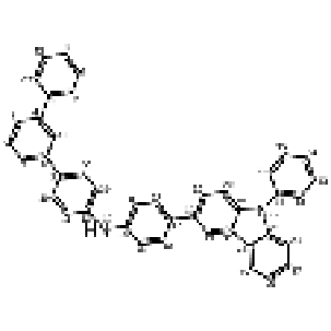 c1ccc(-c2cccc(-c3ccc(Nc4ccc(-c5ccc6c(c5)c5ccccc5n6-c5ccccc5)cc4)cc3)c2)cc1